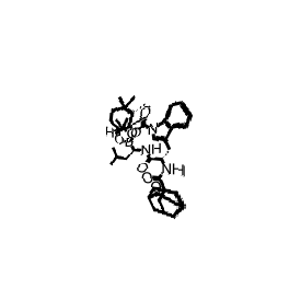 CC(C)C[C@H](NC(=O)[C@H](Cc1cn(C(=O)OC(C)(C)C)c2ccccc12)NC(=O)C12CC3CC(C1)C(=O)C(C3)C2)B1O[C@@H]2CCC(C)(C)[C@H](C)[C@]2(C)O1